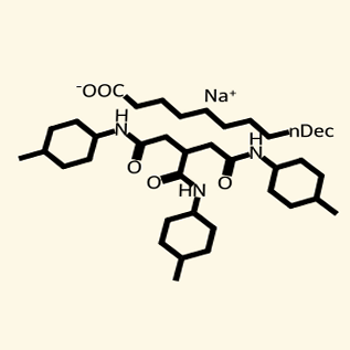 CC1CCC(NC(=O)CC(CC(=O)NC2CCC(C)CC2)C(=O)NC2CCC(C)CC2)CC1.CCCCCCCCCCCCCCCCCC(=O)[O-].[Na+]